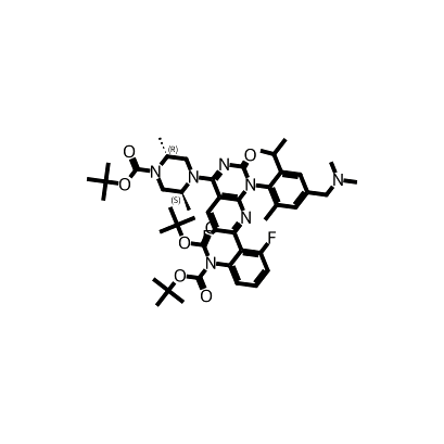 Cc1cc(CN(C)C)cc(C(C)C)c1-n1c(=O)nc(N2C[C@@H](C)N(C(=O)OC(C)(C)C)C[C@@H]2C)c2cc(F)c(-c3c(F)cccc3N(C(=O)OC(C)(C)C)C(=O)OC(C)(C)C)nc21